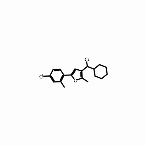 Cc1cc(Cl)ccc1-c1cc(C(Cl)C2CCCCC2)c(C)o1